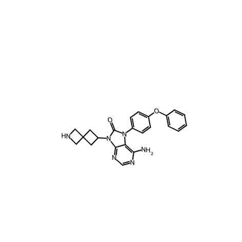 Nc1ncnc2c1n(-c1ccc(Oc3ccccc3)cc1)c(=O)n2C1CC2(CNC2)C1